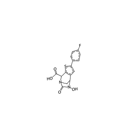 O=C(O)C1c2sc(-c3ccc(F)cc3)cc2C2CN1C(=O)N2O